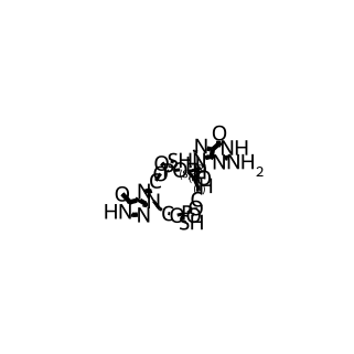 Nc1nc2c(ncn2[C@@H]2O[C@@H]3COP(=O)(S)OCCn4c(nc5c(=O)[nH]cnc54)COP(=O)(S)O[C@@H]2[C@@H]3F)c(=O)[nH]1